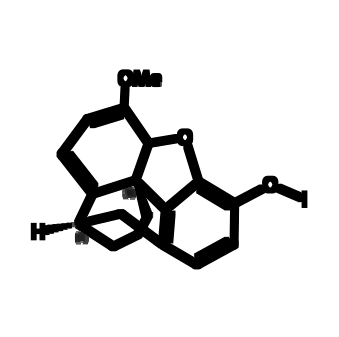 COC1=CC=C2[C@@H]3CCC[C@@]24c2c(ccc(OI)c2OC14)C3